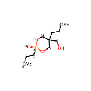 COCCC1(CO)COP(=O)(CCOC)OC1